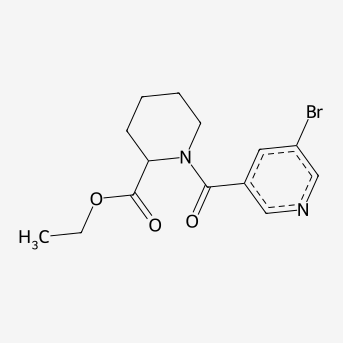 CCOC(=O)C1CCCCN1C(=O)c1cncc(Br)c1